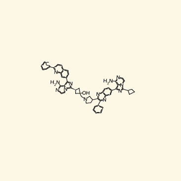 Nc1nccn2c(C3CCC3)nc(-c3ccc4nc(C5CCN(C[C@]6(O)C[C@@H](c7nc(-c8ccc9ccc(-c%10ccccc%10)nc9c8)c8c(N)nccn87)C6)C5)c(-c5ccccc5)nc4c3)c12